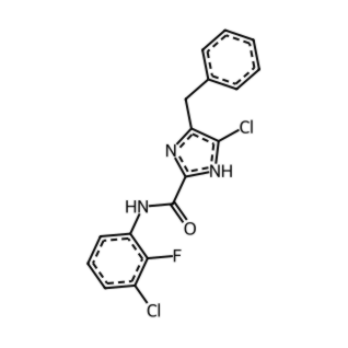 O=C(Nc1cccc(Cl)c1F)c1nc(Cc2ccccc2)c(Cl)[nH]1